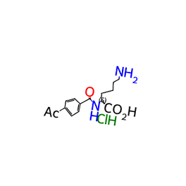 CC(=O)c1ccc(C(=O)N[C@@H](CCCCN)C(=O)O)cc1.Cl